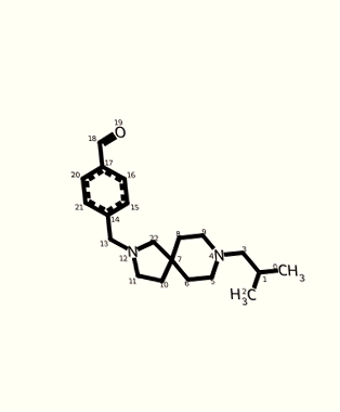 CC(C)CN1CCC2(CC1)CCN(Cc1ccc(C=O)cc1)C2